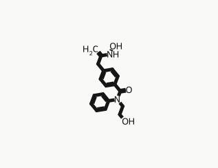 C=C(Cc1ccc(C(=O)N(CCO)c2ccccc2)cc1)NO